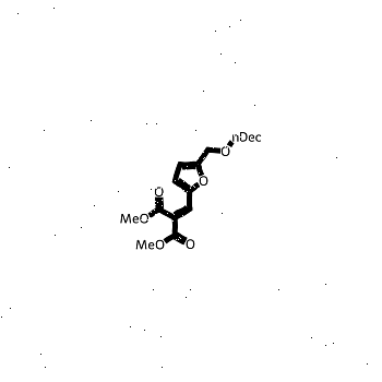 CCCCCCCCCCOCc1ccc(C=C(C(=O)OC)C(=O)OC)o1